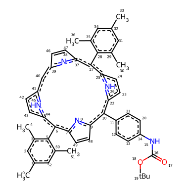 Cc1cc(C)c(-c2c3nc(c(-c4ccc(NC(=O)OC(C)(C)C)cc4)c4ccc([nH]4)c(-c4c(C)cc(C)cc4C)c4nc(cc5ccc2[nH]5)C=C4)C=C3)c(C)c1